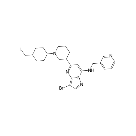 Brc1cnn2c(NCc3cccnc3)cc(C3CCCN(C4CCC(CI)CC4)C3)nc12